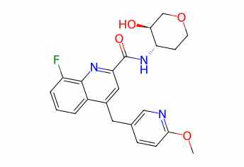 COc1ccc(Cc2cc(C(=O)N[C@H]3CCOC[C@@H]3O)nc3c(F)cccc23)cn1